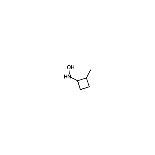 CC1CCC1NO